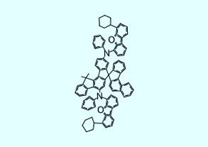 CC1(C)c2ccccc2-c2c(N(c3ccccc3)c3cccc4c3oc3c(C5CCCCC5)cccc34)cc3c(c21)-c1ccc(N(c2ccccc2)c2cccc4c2oc2c(C5CCCCC5)cccc24)cc1C31c2ccccc2-c2c1ccc1ccccc21